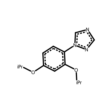 CC(C)Oc1ccc(-n2cncn2)c(OC(C)C)c1